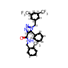 O=C(NCc1ccccc1C(F)(F)F)c1nnn(Cc2cc(C(F)(F)F)cc(C(F)(F)F)c2)c1-c1ccccc1